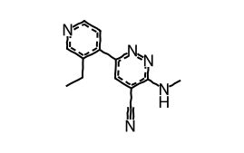 CCc1cnccc1-c1cc(C#N)c(NC)nn1